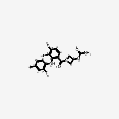 NC(=O)OC1CN(C(=O)c2ccc(F)c(F)c2Nc2ccc(I)cc2F)C1